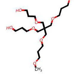 COCCCOCC(COCCCO)(COCCCO)COCCCO